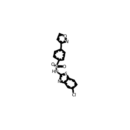 O=S(=O)(Nc1nc2cc(Cl)ccc2s1)c1ccc(-c2ccon2)cc1